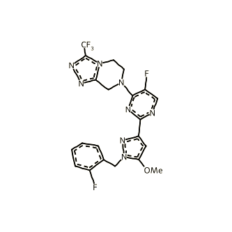 COc1cc(-c2ncc(F)c(N3CCn4c(nnc4C(F)(F)F)C3)n2)nn1Cc1ccccc1F